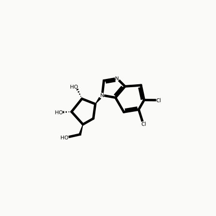 OC[C@@H]1C[C@H](n2cnc3cc(Cl)c(Cl)cc32)[C@@H](O)[C@H]1O